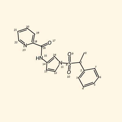 CC(c1ccccc1)S(=O)(=O)n1ccc(NC(=O)c2ccccn2)c1